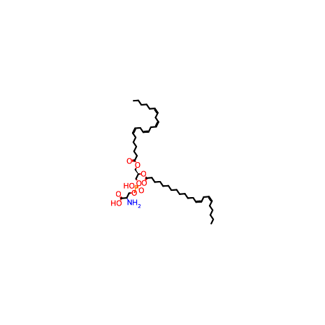 CCCCC/C=C\C/C=C\C/C=C\C/C=C\CCCCCC(=O)OC[C@H](COP(=O)(O)OC[C@H](N)C(=O)O)OC(=O)CCCCCCCCCCC/C=C\C/C=C\CCCCC